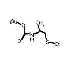 CCSCC(C)NC(=O)OC(C)(C)C